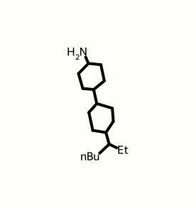 CCCCC(CC)C1CCC(C2CCC(N)CC2)CC1